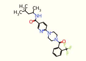 CC(C)CC(C)NC(=O)c1ccc(N2CCN(C(=O)c3ccccc3C(F)(F)F)CC2)nc1